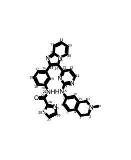 CN1CCc2ccc(Nc3nccc(-c4c(-c5cccc(NC(=O)c6nccs6)c5)nc5ccccn45)n3)cc2C1